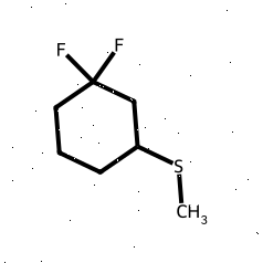 CSC1CCCC(F)(F)C1